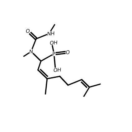 CNC(=O)N(C)C(C=C(C)CCC=C(C)C)P(=O)(O)O